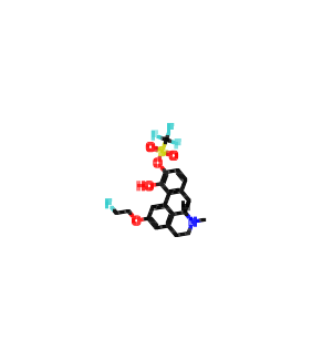 CN1CCc2cc(OCCF)cc3c2[C@H]1Cc1ccc(OS(=O)(=O)C(F)(F)F)c(O)c1-3